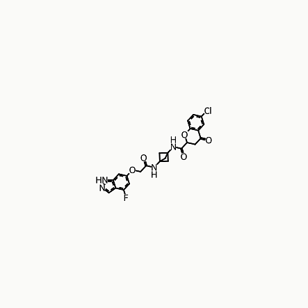 O=C(COc1cc(F)c2cn[nH]c2c1)NC12CC(NC(=O)C3CC(=O)c4cc(Cl)ccc4O3)(C1)C2